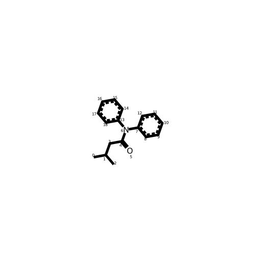 CC(C)CC(=O)N(c1ccccc1)c1ccccc1